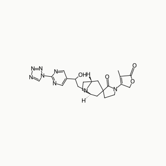 CC1=C(N2CCC3(C[C@H]4CC[C@H](C3)N4CC(O)c3cnc(-n4cnnn4)nc3)C2=O)COC1=O